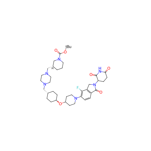 CC(C)(C)OC(=O)N1CCC[C@H](CN2CCN(C[C@H]3CC[C@H](OC4CCN(c5ccc6c(c5F)CN(C5CCC(=O)NC5=O)C6=O)CC4)CC3)CC2)C1